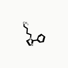 CCCCCn1ccnc1-c1ccccc1